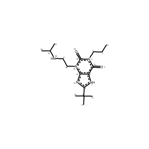 CCCn1c(=O)c2[nH]c(C(C)(C)C)nc2n(CCNC(C)C)c1=O